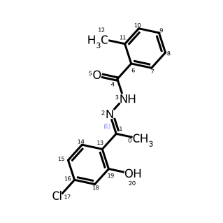 C/C(=N\NC(=O)c1ccccc1C)c1ccc(Cl)cc1O